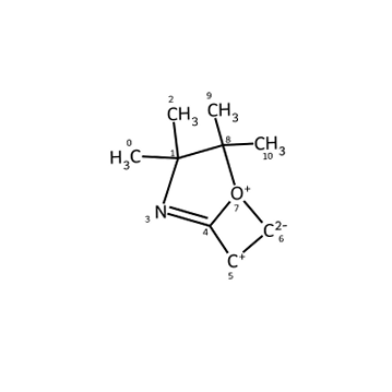 CC1(C)N=C2[CH+][C-2][O+]2C1(C)C